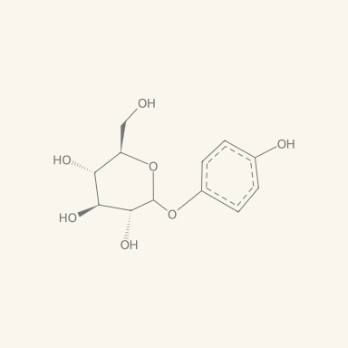 OC[C@H]1OC(Oc2ccc(O)cc2)[C@H](O)[C@@H](O)[C@@H]1O